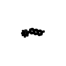 Cc1ccc2cc3cc(B4OC(C)(C)C(C)(C)O4)ccc3cc2c1